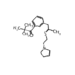 CC(Cc1cccc(C(=O)C(C)(C)C)c1)SCCN1CCCC1